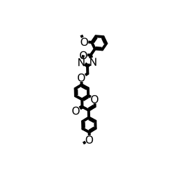 COc1ccc(-c2coc3cc(OCc4noc(-c5ccccc5OC)n4)ccc3c2=O)cc1